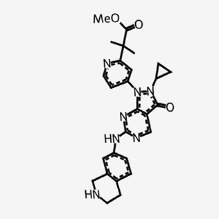 COC(=O)C(C)(C)c1cc(-n2c3nc(Nc4ccc5c(c4)CNCC5)ncc3c(=O)n2C2CC2)ccn1